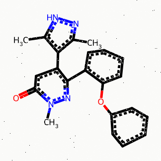 Cc1n[nH]c(C)c1-c1cc(=O)n(C)nc1-c1ccccc1Oc1ccccc1